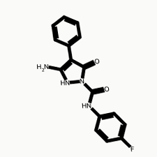 Nc1[nH]n(C(=O)Nc2ccc(F)cc2)c(=O)c1-c1ccccc1